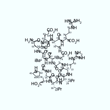 CC[C@H](C)[C@H](NC(=O)[C@H](CCC(=O)O)NC(=O)[C@H](CCCNC(=N)N)NC(=O)[C@H](CC(C)C)NC(=O)[C@H](CC(C)C)NC(=O)[C@H](CCC(=O)O)NC(=O)[C@@H]1CCCN1)C(=O)N[C@H](C(=O)N[C@@H](CC(N)=O)C(=O)N[C@@H](CCC(=O)O)C(=O)N[C@@H](CS)C(=O)N[C@@H](CCCNC(=N)N)C(=O)O)[C@@H](C)CC